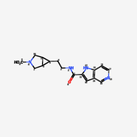 O=C(NCCC1C2CN(C(=O)O)CC12)c1cc2cnccc2[nH]1